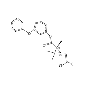 CC1(C)[C@@H](C=C(Cl)Cl)[C@@]1(C)C(=O)Oc1cccc(Oc2ccccc2)c1